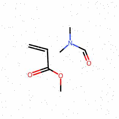 C=CC(=O)OC.CN(C)C=O